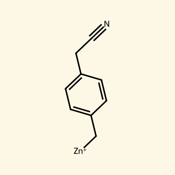 N#CCc1ccc([CH2][Zn+])cc1